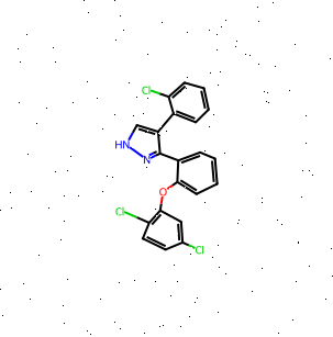 Clc1ccc(Cl)c(Oc2ccccc2-c2n[nH]cc2-c2ccccc2Cl)c1